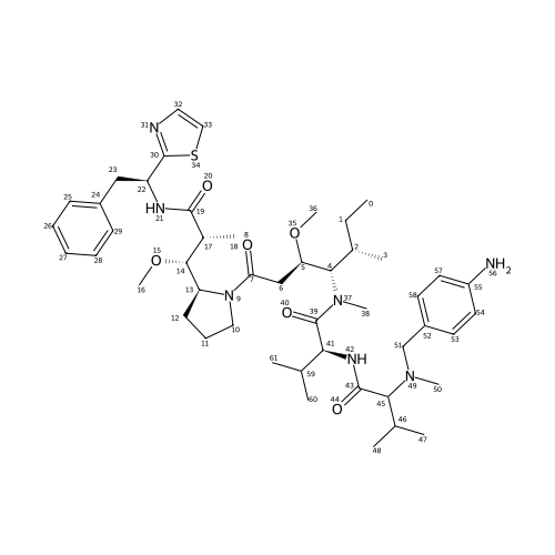 CC[C@H](C)[C@@H]([C@@H](CC(=O)N1CCC[C@H]1[C@H](OC)[C@@H](C)C(=O)N[C@@H](Cc1ccccc1)c1nccs1)OC)N(C)C(=O)[C@@H](NC(=O)C(C(C)C)N(C)Cc1ccc(N)cc1)C(C)C